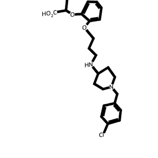 CC(Oc1ccccc1OCCCNC1CCN(Cc2ccc(Cl)cc2)CC1)C(=O)O